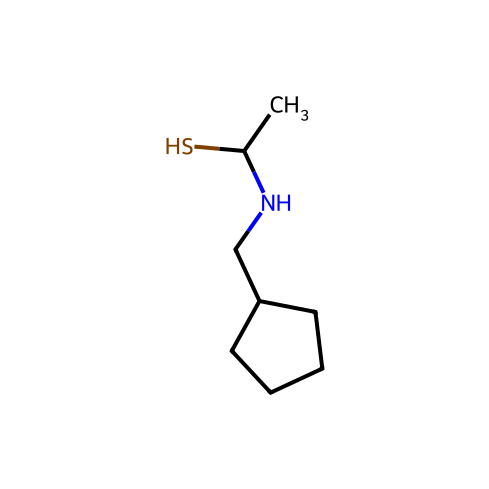 CC(S)NCC1CCCC1